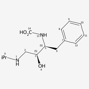 CC(C)NC[C@H](O)[C@H](Cc1ccccc1)NC(=O)O